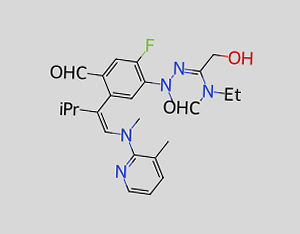 CCN(C=O)/C(CO)=N\N(C)c1cc(/C(=C\N(C)c2ncccc2C)C(C)C)c(C=O)cc1F